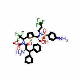 COC(=O)N(C(=O)[C@@H](N)C(c1ccccc1)c1ccccc1)[C@H](c1ccc([C@@H](CO)N(CCC(F)(F)F)S(=O)(=O)c2ccc(N)cc2)s1)C(F)(F)F